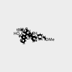 COCCN1CCCN(c2cc(-c3cc4c(-c5cc(F)c6c(c5C)CCCO6)c([C@H](OC(C)(C)C)C(=O)O)c(C)nc4n3C)ccn2)CC1